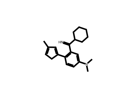 CC1=CCC(c2ccc(N(C)C)cc2C(=N)C2CCCCC2)=C1